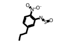 CCCc1ccc([N+](=O)[O-])c(N=S=O)c1